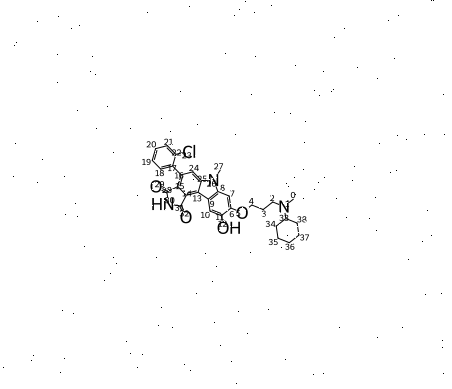 CN(CCCOc1cc2c(cc1O)c1c3c(c(-c4ccccc4Cl)cc1n2C)C(=O)NC3=O)C1CCCCC1